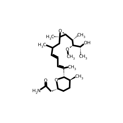 CO[C@H]([C@@H](C)[C@H]1O[C@]1(C)CC(C)/C=C/C=C(\C)[C@H]1O[C@@H](CC(N)=O)CC[C@@H]1C)[C@@H](C)O